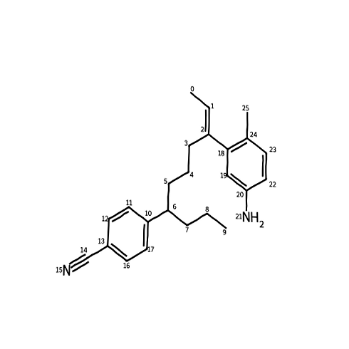 C/C=C(\CCCC(CCC)c1ccc(C#N)cc1)c1cc(N)ccc1C